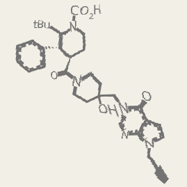 C#CCn1ccc2c(=O)n(CC3(O)CCN(C(=O)[C@@H]4CCN(C(=O)O)C(C(C)(C)C)[C@H]4c4ccccc4)CC3)cnc21